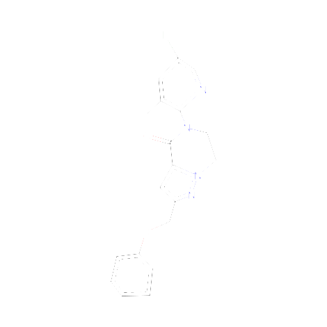 Cc1cc(F)cnc1N1CCn2nc(COc3ccccc3)cc2C1=O